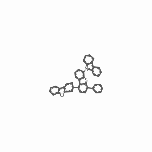 c1ccc(-c2ccc(-c3ccc4c(c3)oc3ccccc34)c3c2sc2c(-n4c5ccccc5c5ccccc54)cccc23)cc1